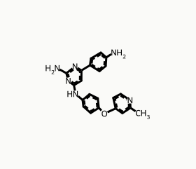 Cc1cc(Oc2ccc(Nc3cc(-c4ccc(N)cc4)nc(N)n3)cc2)ccn1